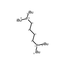 CCC(C)P(CCCCP(C(C)CC)C(C)CC)C(C)CC